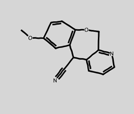 COc1ccc2c(c1)C(C#N)c1cccnc1CO2